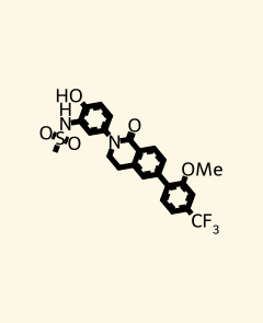 COc1cc(C(F)(F)F)ccc1-c1ccc2c(c1)CCN(c1ccc(O)c(NS(C)(=O)=O)c1)C2=O